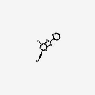 CCCCC#Cc1nc(Cl)c2nc(-c3ccccn3)[nH]c2n1